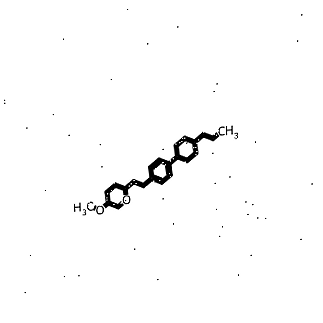 CCCC1CCC(c2ccc(CCC3CCC(OC)CO3)cc2)CC1